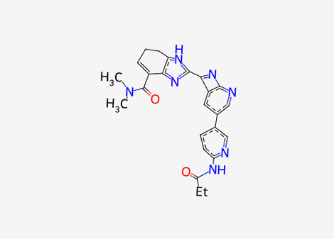 CCC(=O)Nc1ccc(-c2cnc3c(c2)C(c2nc4c([nH]2)CCC=C4C(=O)N(C)C)=N3)cn1